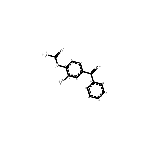 CC(=O)Oc1ccc(C(=O)c2ccccc2)cc1C